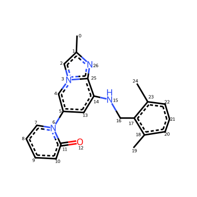 Cc1cn2cc(-n3ccccc3=O)cc(NCc3c(C)cccc3C)c2n1